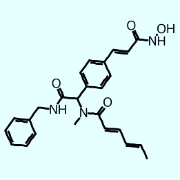 CC=CC=CC(=O)N(C)C(C(=O)NCc1ccccc1)c1ccc(C=CC(=O)NO)cc1